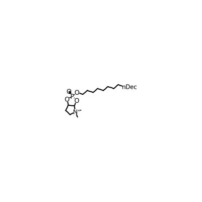 CCCCCCCCCCCCCCCCCCOP1(=O)OC2CC[N+](C)(C)C2O1